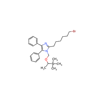 CC(OCn1c(CCCCCCBr)nc(-c2ccccc2)c1-c1ccccc1)[Si](C)(C)C